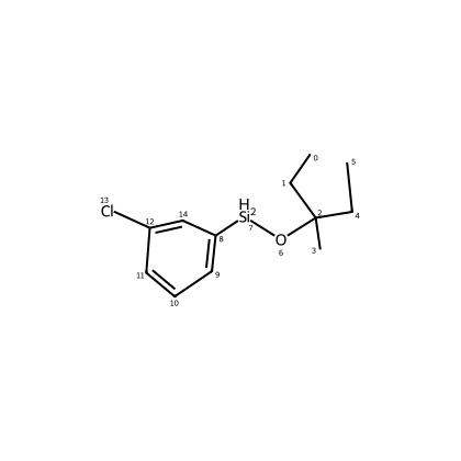 CCC(C)(CC)O[SiH2]c1cccc(Cl)c1